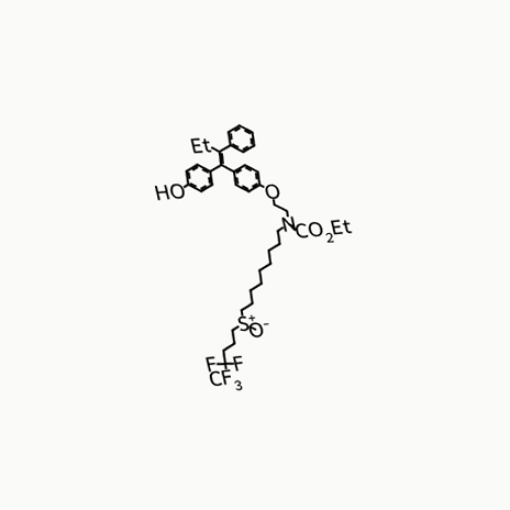 CCOC(=O)N(CCCCCCCCC[S+]([O-])CCCC(F)(F)C(F)(F)F)CCOc1ccc(/C(=C(/CC)c2ccccc2)c2ccc(O)cc2)cc1